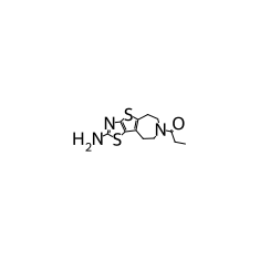 CCC(=O)N1CCc2sc3nc(N)sc3c2CC1